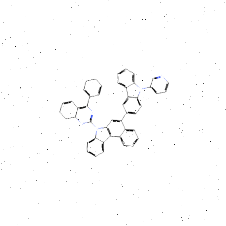 C1=CC(C2=C3C=CCCC3NC(n3c4ccccc4c4c5ccccc5c(-c5ccc6c(c5)c5ccccc5n6-c5cccnc5)cc43)=N2)=CCC1